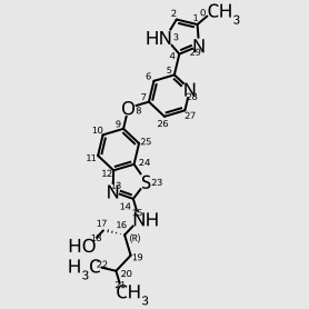 Cc1c[nH]c(-c2cc(Oc3ccc4nc(N[C@@H](CO)CC(C)C)sc4c3)ccn2)n1